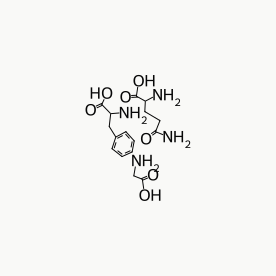 NC(=O)CCC(N)C(=O)O.NC(Cc1ccccc1)C(=O)O.NCC(=O)O